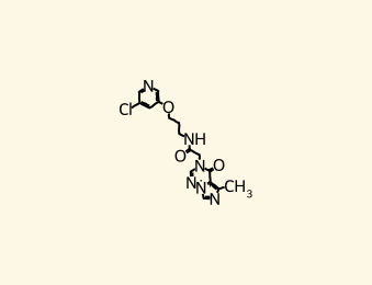 CC1=C2C(=O)N(CC(=O)NCCCOc3cncc(Cl)c3)C=N[N+]2C=N1